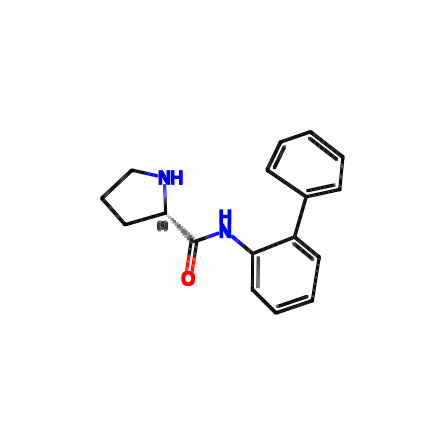 O=C(Nc1ccccc1-c1ccccc1)[C@@H]1CCCN1